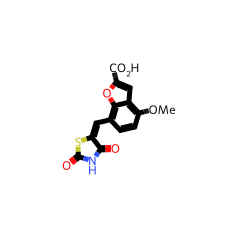 COc1ccc(/C=C2/SC(=O)NC2=O)c2oc(C(=O)O)cc12